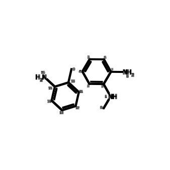 CNc1ccccc1N.Cc1ccccc1N